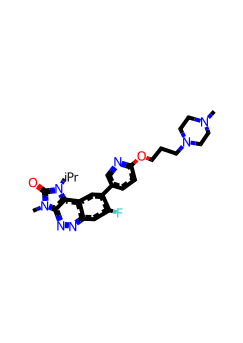 CC(C)n1c(=O)n(C)c2nnc3cc(F)c(-c4ccc(OCCCN5CCN(C)CC5)nc4)cc3c21